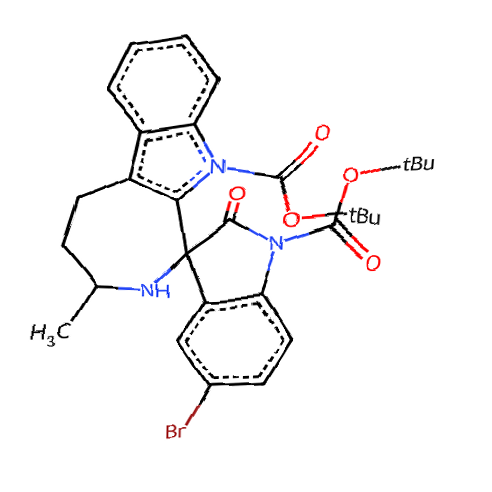 CC1CCc2c(n(C(=O)OC(C)(C)C)c3ccccc23)C2(N1)C(=O)N(C(=O)OC(C)(C)C)c1ccc(Br)cc12